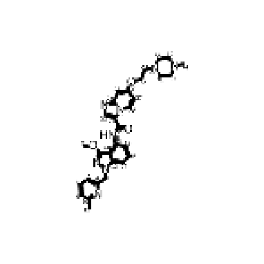 COc1nn(Cc2cccc(C)n2)c2cccc(NC(=O)c3cnc4cc(OCCN5CCN(C)CC5)ccn34)c12